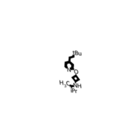 CC(C)[C@H](C)N[C@H]1C[C@H](Oc2cc(CCC(C)(C)C)ccn2)C1